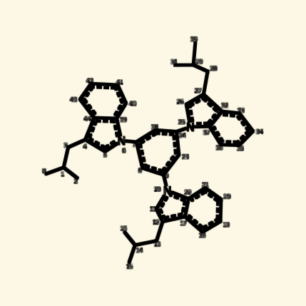 CC(C)Cc1cn(-c2cc(-n3cc(CC(C)C)c4ccccc43)cc(-n3cc(CC(C)C)c4ccccc43)c2)c2ccccc12